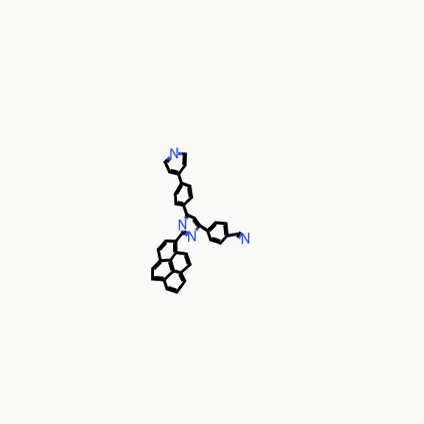 N#Cc1ccc(-c2cc(-c3ccc(-c4ccncc4)cc3)nc(-c3ccc4ccc5cccc6ccc3c4c56)n2)cc1